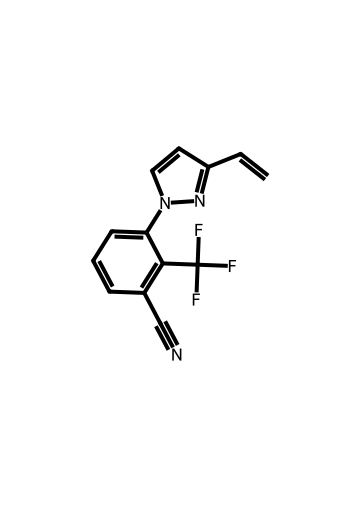 C=Cc1ccn(-c2cccc(C#N)c2C(F)(F)F)n1